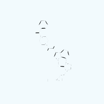 CNCCN1CCN(c2cccc3c(C(=O)C(=O)N4CCN(C(=O)c5ccccc5)CC4)c[nH]c23)C1=O